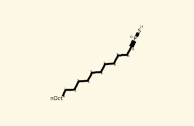 CCCCCCCCCCCCCCCCCCC#P=S